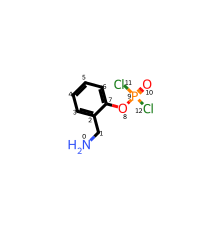 NCc1ccccc1OP(=O)(Cl)Cl